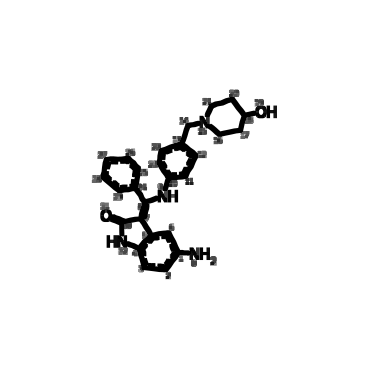 Nc1ccc2c(c1)C(=C(Nc1ccc(CN3CCC(O)CC3)cc1)c1ccccc1)C(=O)N2